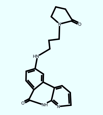 O=C1CCCN1CCCNc1ccc2c(=O)[nH]c3ncccc3c2c1